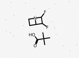 CC(C)(C)C(=O)O.FC1C(F)N2CCC12